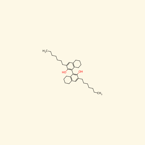 CCCCCCCc1cc2c(c(-c3c(O)c(CCCCCCC)cc4c3CCCC4)c1O)CCCC2